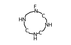 FN1CCCNCCNCCCNCC1